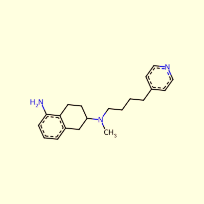 CN(CCCCc1ccncc1)C1CCc2c(N)cccc2C1